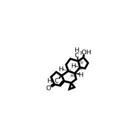 C[C@]12CCC(=O)C=C1C1(CC1)C[C@@H]1[C@@H]2CC[C@]2(C)C(O)CC[C@@H]12